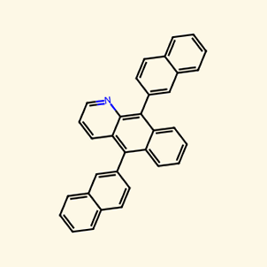 c1ccc2cc(-c3c4ccccc4c(-c4ccc5ccccc5c4)c4ncccc34)ccc2c1